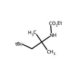 CCOC(=O)NC(C)(C)CC(C)(C)C